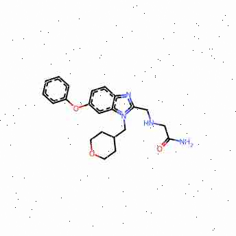 NC(=O)CNCc1nc2ccc(Oc3ccccc3)cc2n1CC1CCOCC1